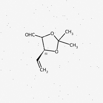 C=C[C@@H]1OC(C)(C)OC1C=O